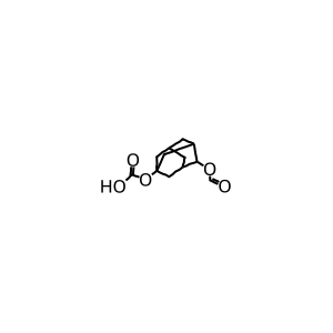 O=COC1C2CC3CC1CC(OC(=O)O)(C3)C2